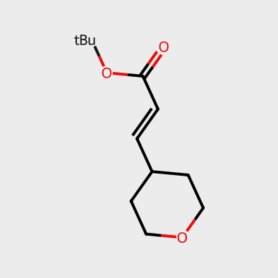 CC(C)(C)OC(=O)C=CC1CCOCC1